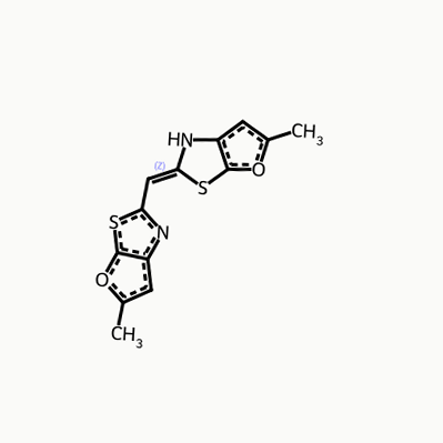 Cc1cc2c(o1)S/C(=C\c1nc3cc(C)oc3s1)N2